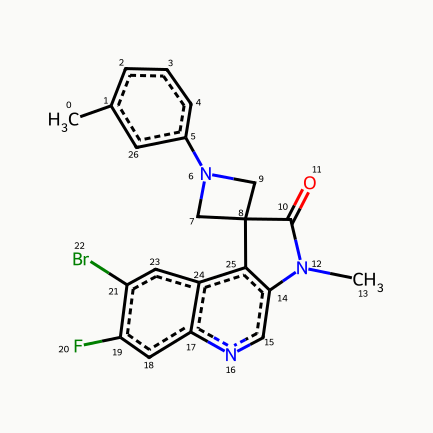 Cc1cccc(N2CC3(C2)C(=O)N(C)c2cnc4cc(F)c(Br)cc4c23)c1